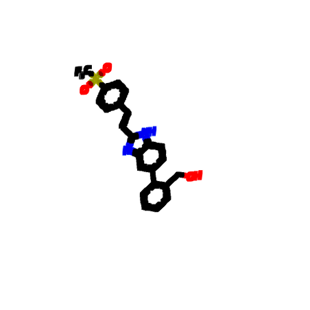 O=S(=O)(c1ccc(C=Cc2nc3cc(-c4ccccc4CO)ccc3[nH]2)cc1)C(F)(F)F